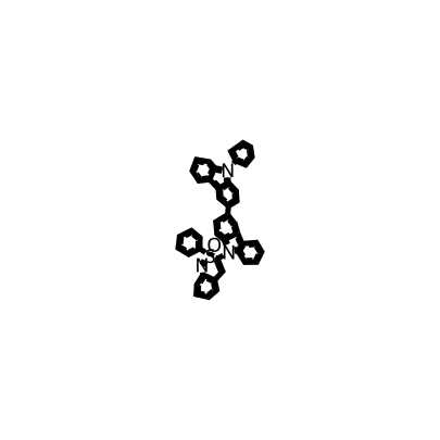 O=S1(c2ccccc2)=Nc2ccccc2C=C1n1c2ccccc2c2cc(-c3ccc4c(c3)c3ccccc3n4-c3ccccc3)ccc21